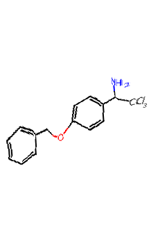 NC(c1ccc(OCc2ccccc2)cc1)C(Cl)(Cl)Cl